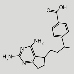 CC(CCC1CCc2nc(N)nc(N)c21)c1ccc(C(=O)O)cc1